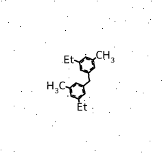 CCc1[c]c(C)cc(Cc2cc(C)[c]c(CC)c2)c1